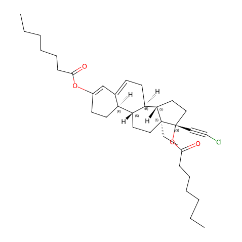 CCCCCCC(=O)OC1=CC2=CC[C@@H]3[C@H](CC[C@@]4(CC)[C@H]3CC[C@]4(C#CCl)OC(=O)CCCCCC)[C@H]2CC1